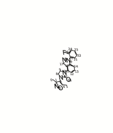 Cc1noc(C)c1N1CCN(c2cccc3c2cnn3-c2ccccc2F)C1=O